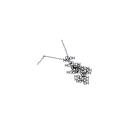 CCCCCCCC/C=C\CCCCCCCCCCCCCCCC(=O)N[C@@H](CO[C@@H]1OC(CO)[C@@H](O[C@@H]2OC(CO)[C@H](O)[C@H](O[C@@H]3OC(CO)[C@@H](O[C@@H]4OC(CO[C@]5(C(=O)O)CC(O)[C@@H](O)C([C@H](O)[C@H](O)CO)O5)[C@H](O)[C@H](O)C4O)[C@H](O)C3NC(C)=O)C2O)[C@H](O)C1O)[C@H](O)/C=C/CCCCCCCCCCCCC